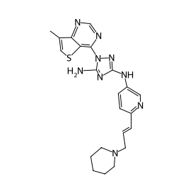 Cc1csc2c(-n3nc(Nc4ccc(C=CCN5CCCCC5)nc4)nc3N)ncnc12